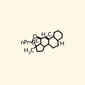 CCCOC1(C)CCC2C3CC[C@@H]4CCCC[C@]4(C)C3=CC(=O)[C@@]21CC